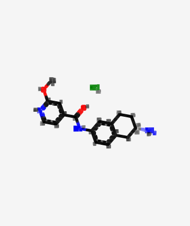 CCOc1cc(C(=O)Nc2ccc3c(c2)CC[C@H](N)C3)ccn1.Cl